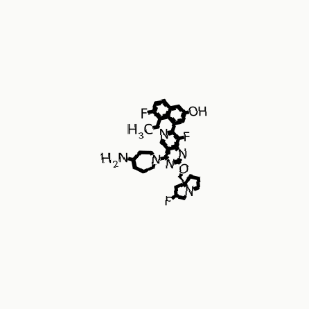 CCc1c(F)ccc2cc(O)cc(-c3ncc4c(N5CCCC(N)CC5)nc(OC[C@@]56CCCN5CC(F)C6)nc4c3F)c12